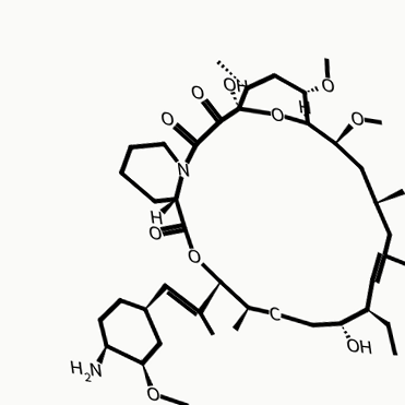 CC[C@@H]1/C=C(\C)C[C@H](C)C[C@H](OC)[C@H]2O[C@@](O)(C(=O)C(=O)N3CCCC[C@H]3C(=O)O[C@H](/C(C)=C/[C@@H]3CC[C@H](N)[C@H](OC)C3)[C@H](C)CC[C@H]1O)[C@H](C)C[C@@H]2OC